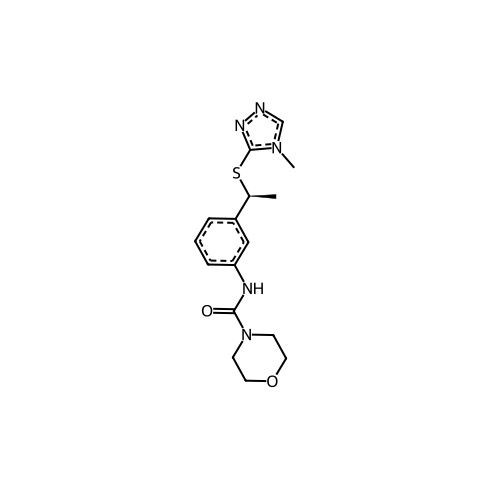 C[C@H](Sc1nncn1C)c1cccc(NC(=O)N2CCOCC2)c1